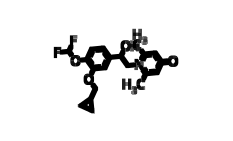 Cc1cc(=O)cc(C)n1CC(O)c1ccc(OC(F)F)c(OCC2CC2)c1